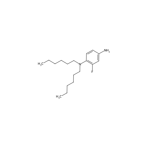 CCCCCCN(CCCCCC)c1ccc(N)cc1F